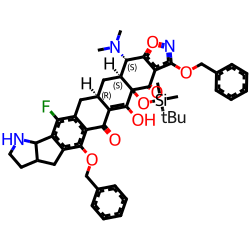 CN(C)[C@@H]1c2onc(OCc3ccccc3)c2C(=O)C2(O[Si](C)(C)C(C)(C)C)C(O)=C3C(=O)c4c(c(F)c5c(c4OCc4ccccc4)CC4CCNC54)C[C@H]3C[C@@H]12